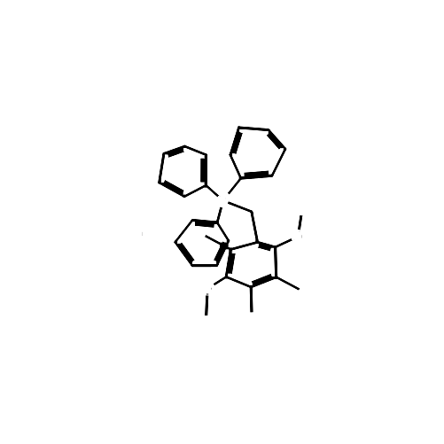 COc1c(C)c(C)c(OC)c(C[P+](c2ccccc2)(c2ccccc2)c2ccccc2)c1C.[Cl-]